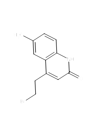 Cc1ccc2[nH]c(=O)cc(CCBr)c2c1